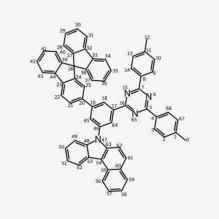 Cc1ccc(-c2nc(-c3ccc(C)cc3)nc(-c3cc(-c4ccc5c(c4)C4(c6ccccc6-c6ccccc64)c4ccccc4-5)cc(-n4c5ccccc5c5c6ccccc6ccc54)c3)n2)cc1